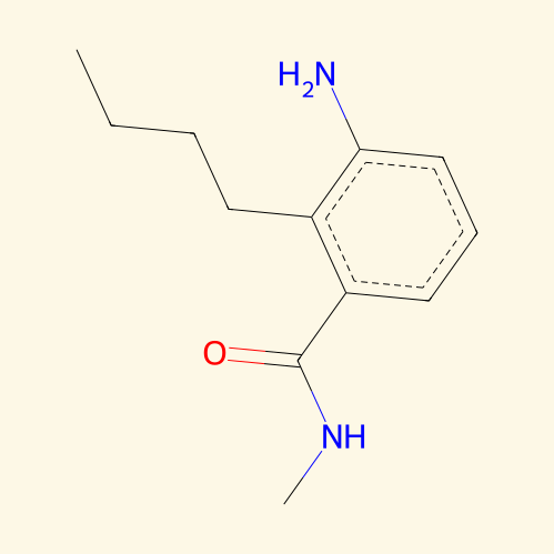 CCCCc1c(N)cccc1C(=O)NC